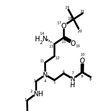 CCNCN(CCNC(C)=O)CC[C@H](N)C(=O)OC(C)(C)C